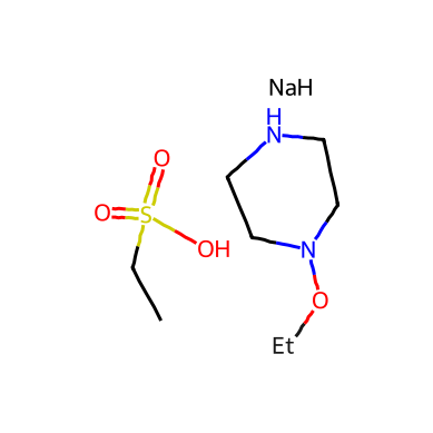 CCON1CCNCC1.CCS(=O)(=O)O.[NaH]